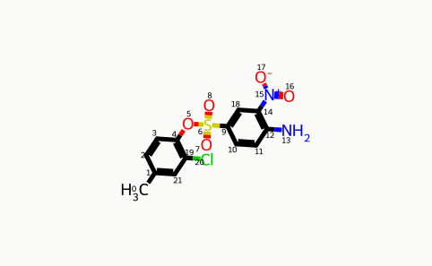 Cc1ccc(OS(=O)(=O)c2ccc(N)c([N+](=O)[O-])c2)c(Cl)c1